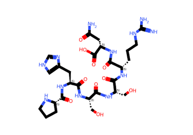 N=C(N)NCCC[C@H](NC(=O)[C@H](CO)NC(=O)[C@H](CO)NC(=O)[C@H](Cc1c[nH]cn1)NC(=O)[C@@H]1CCCN1)C(=O)N[C@@H](CC(N)=O)C(=O)O